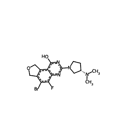 CN(C)[C@H]1CCN(c2nc(O)c3c4c(c(Br)c(F)c3n2)COC4)C1